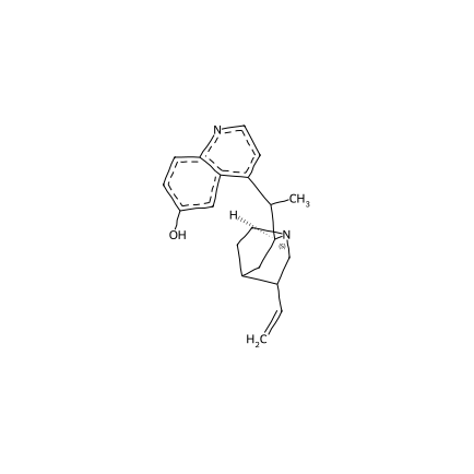 C=CC1CN2CCC1C[C@H]2C(C)c1ccnc2ccc(O)cc12